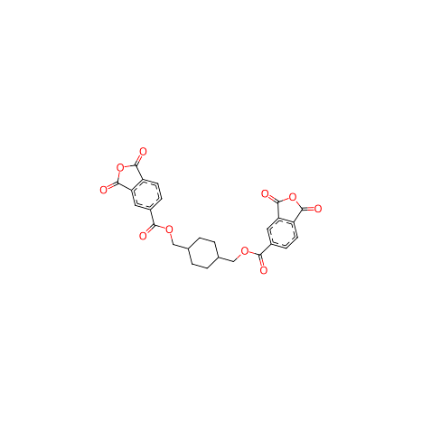 O=C(OCC1CCC(COC(=O)c2ccc3c(c2)C(=O)OC3=O)CC1)c1ccc2c(c1)C(=O)OC2=O